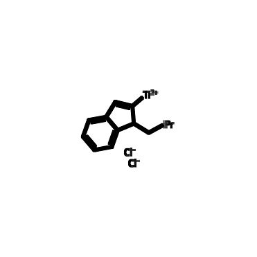 CC(C)CC1[C]([Ti+2])=Cc2ccccc21.[Cl-].[Cl-]